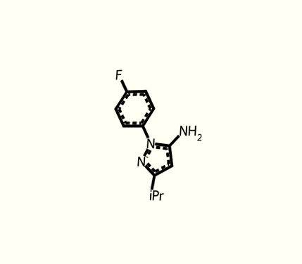 CC(C)c1cc(N)n(-c2ccc(F)cc2)n1